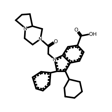 O=C(O)c1ccc2c(C3CCCCC3)c(-c3ccccc3)n(CC(=O)N3CCN4CCCC4C3)c2c1